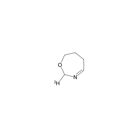 [2H]C1N=CCCCO1